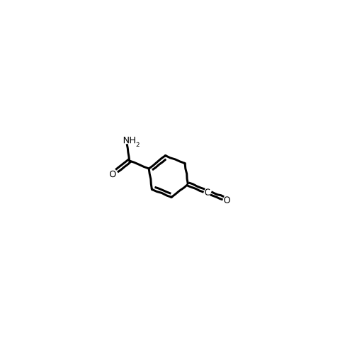 NC(=O)C1=CCC(=C=O)C=C1